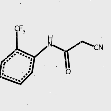 N#CCC(=O)Nc1ccccc1C(F)(F)F